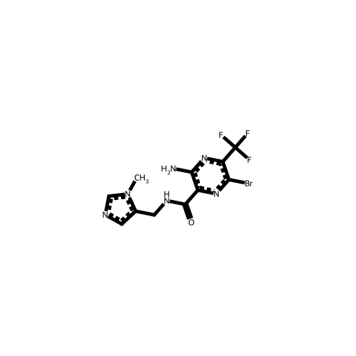 Cn1cncc1CNC(=O)c1nc(Br)c(C(F)(F)F)nc1N